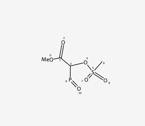 COC(=O)C(OS(C)(=O)=O)P=O